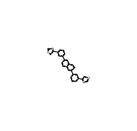 c1cc(-c2ccc3cc(-c4cccc(-c5cocn5)c4)ccc3c2)cc(-c2cocn2)c1